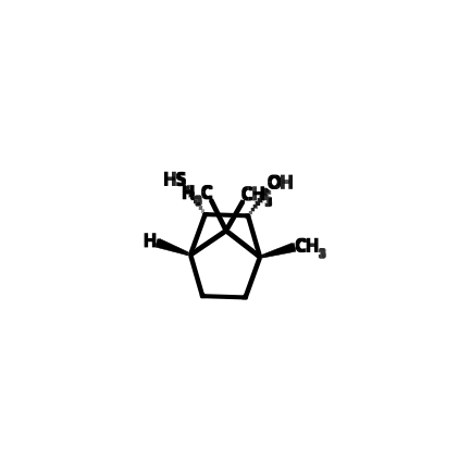 CC1(C)[C@@H]2CC[C@@]1(C)[C@@H](O)[C@H]2S